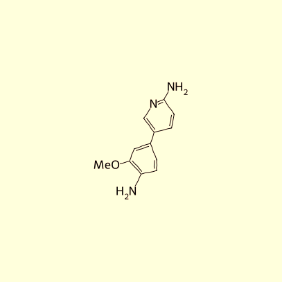 COc1cc(-c2ccc(N)nc2)ccc1N